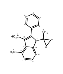 CC1(n2c(-c3cccnc3)c(C(=O)O)c3c(N)ncnc32)CC1